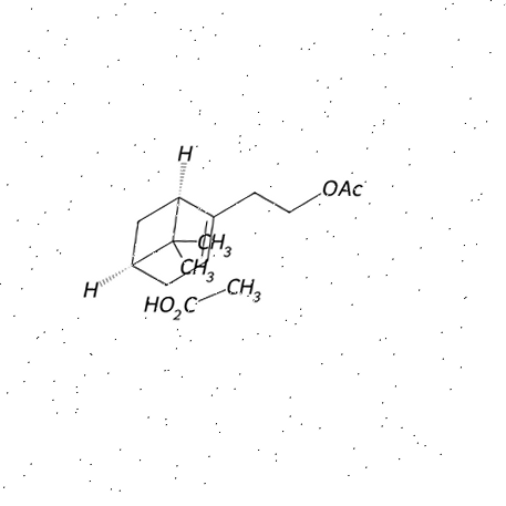 CC(=O)O.CC(=O)OCCC1=CC[C@H]2C[C@@H]1C2(C)C